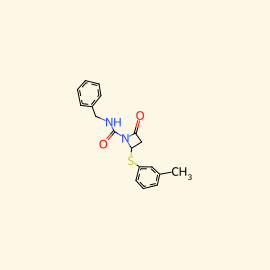 Cc1cccc(SC2CC(=O)N2C(=O)NCc2ccccc2)c1